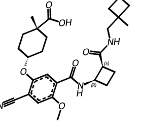 COc1cc(C#N)c(O[C@H]2CC[C@@](C)(C(=O)O)CC2)cc1C(=O)N[C@@H]1CC[C@@H]1C(=O)NCC1(C)CCC1